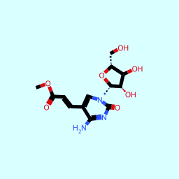 COC(=O)/C=C/c1cn([C@@H]2O[C@H](CO)C(O)[C@@H]2O)c(=O)nc1N